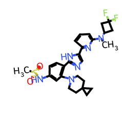 CN(c1cccc(-c2cnc(-c3ccc(NS(C)(=O)=O)cc3N3CCC4(CC3)CC4)[nH]2)n1)C1CC(F)(F)C1